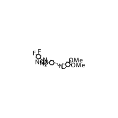 COc1cc2c(cc1OC)CN(CCc1ccc(-n3nnc(-c4cc(F)c(F)cc4[N+](=O)[O-])n3)cc1)CC2